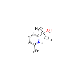 CC(C)c1cccc(C(C)(C)O)n1